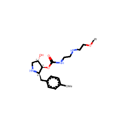 COc1ccc(C[C@H]2NC[C@H](O)[C@H]2OC(=O)NCCNCCOC(C)C)cc1